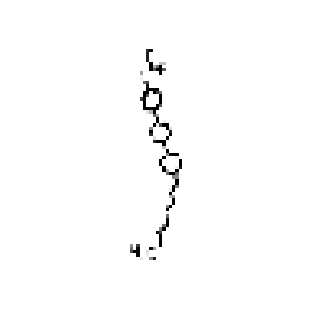 CCCCCCCCC1CCC(C2CC=C(c3ccc(OC(F)F)cc3)CC2)CC1